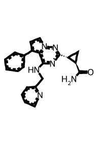 NC(=O)[C@@H]1C[C@H]1c1nc(NCc2ccccn2)c2c(-c3ccccc3)ccn2n1